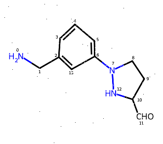 NCc1cccc(N2CCC(C=O)N2)c1